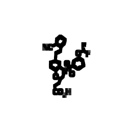 N#Cc1ccccc1C=Cc1ccc2c(c1)N(S(=O)(=O)c1cccc(OC(F)F)c1)CC(CCC(=O)O)O2